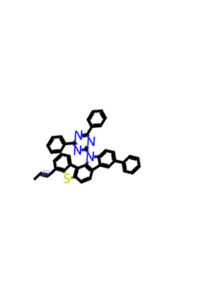 C/C=C/c1cccc2c1sc1ccc3c4cc(-c5ccccc5)ccc4n(-c4nc(-c5ccccc5)nc(-c5ccccc5)n4)c3c12